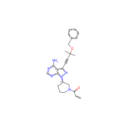 C=CC(=O)N1CCC[C@@H](n2nc(C#CC(C)(C)OCc3ccccc3)c3c(N)ncnc32)C1